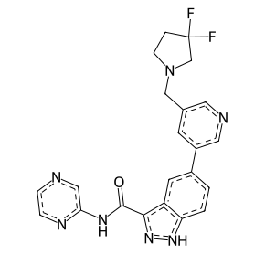 O=C(Nc1cnccn1)c1n[nH]c2ccc(-c3cncc(CN4CCC(F)(F)C4)c3)cc12